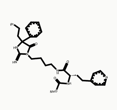 COC(=O)N[C@@H](CCc1ccncc1)C(=O)NCCCCN1C(=N)NC(CCC(C)C)(c2ccccc2)C1=O